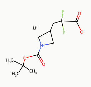 CC(C)(C)OC(=O)N1CC(CC(F)(F)C(=O)[O-])C1.[Li+]